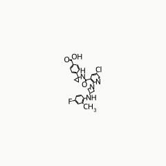 Cc1cc(F)ccc1NC1CN(c2ncc(Cl)cc2C(=O)NC2(c3ccc(C(=O)O)cc3)CC2)C1